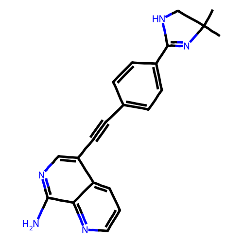 CC1(C)CNC(c2ccc(C#Cc3cnc(N)c4ncccc34)cc2)=N1